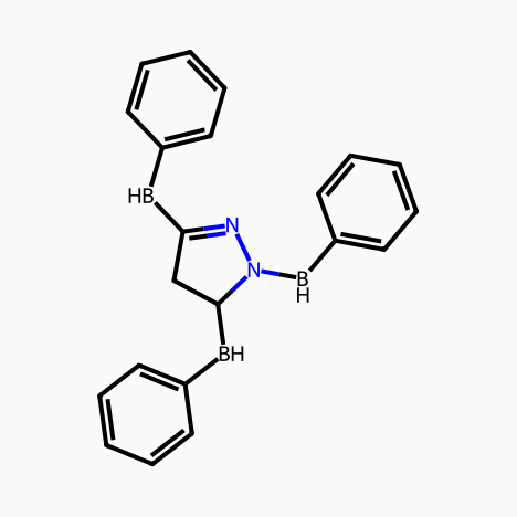 B(C1=NN(Bc2ccccc2)C(Bc2ccccc2)C1)c1ccccc1